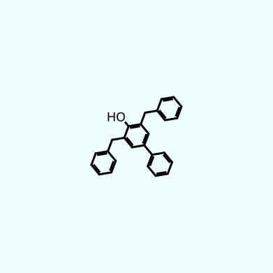 Oc1c(Cc2ccccc2)cc(-c2ccccc2)cc1Cc1ccccc1